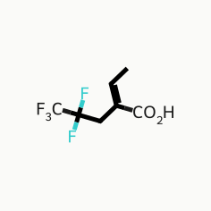 CC=C(CC(F)(F)C(F)(F)F)C(=O)O